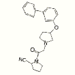 N#CC1CCCN1C(=O)CN1CCC(Oc2cccc(-c3ccccc3)c2)C1